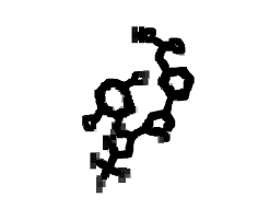 O=C(O)Cc1cccc(-c2csc(C3CC(C(F)(F)F)=NN3c3cc(Cl)ccc3Cl)c2)c1